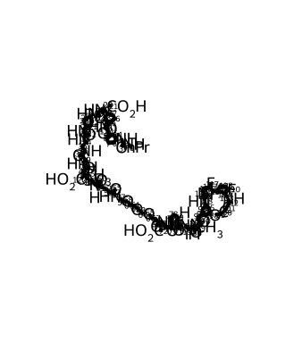 CCCNC(=O)Nc1cccc(S(=O)(=O)Nc2cccc([C@@H](CC(=O)O)NC(=O)Nc3ccc(NC(=O)NCCNC(=O)CNC(=O)CC(C)(SNNC(=O)CCCC(=O)NCCOCCOCCOCCC(=O)N[C@@H](CC(=O)O)C(=O)N4CCC[C@H]4C(=O)N[C@H](C(=O)N=S(C)(=O)Cc4cc5cc(c4)OCCCCNc4cc(ccc4F)-c4nc(ncc4F)N5)C(C)C)C(=O)O)cc3)c2)c1